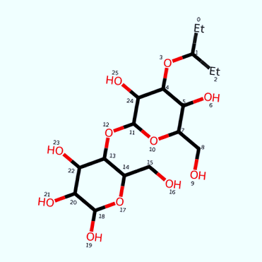 CCC(CC)OC1C(O)C(CO)OC(OC2C(CO)OC(O)C(O)C2O)C1O